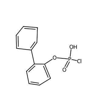 O=P(O)(Cl)Oc1ccccc1-c1ccccc1